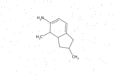 CC1CC2=CC=C(N)C(C)C2C1